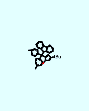 Cc1ccc(C(C2=CC(C(C)(C)C)=CC2C)(c2ccc(C)cc2)C2c3ccccc3-c3ccccc32)cc1